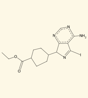 CCOC(=O)C1CCC(C2N=C(I)c3c(N)ncnc32)CC1